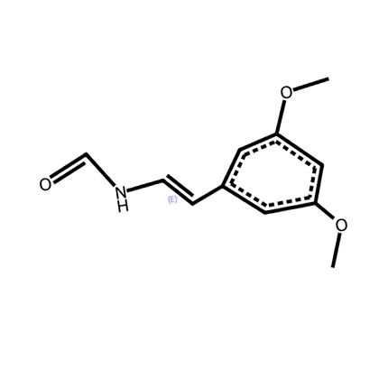 COc1cc(/C=C/NC=O)cc(OC)c1